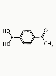 CC(=O)c1c#cc(B(O)O)cc1